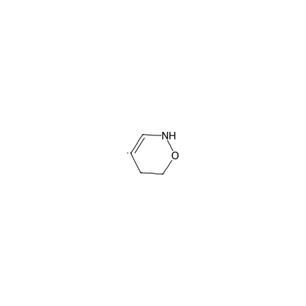 [C]1=CNOCC1